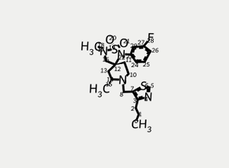 CCCc1ncsc1CN1CC[C@@]2(C[C@@H]1C)CN(C)S(=O)(=O)N2c1cccc(F)c1